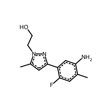 Cc1cc(F)c(-c2cc(C)n(CCO)n2)cc1N